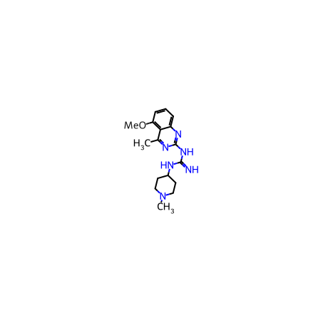 COc1cccc2nc(NC(=N)NC3CCN(C)CC3)nc(C)c12